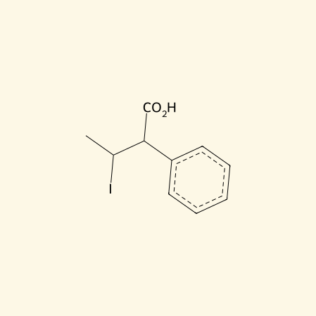 CC(I)C(C(=O)O)c1ccccc1